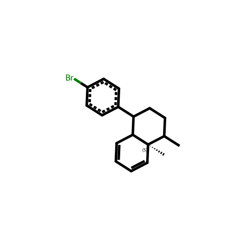 CC1CCC(c2ccc(Br)cc2)C2C=CC=C[C@]12C